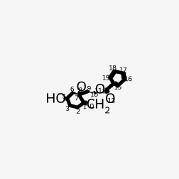 C=C1CC[C@H](O)C[C@]12O[C@@H]2COC(=O)c1ccccc1